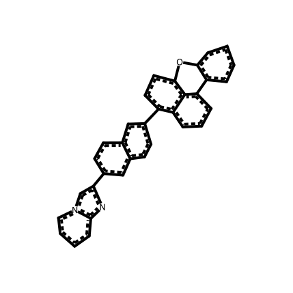 c1ccc2c(c1)Oc1ccc(-c3ccc4cc(-c5cn6ccccc6n5)ccc4c3)c3cccc-2c13